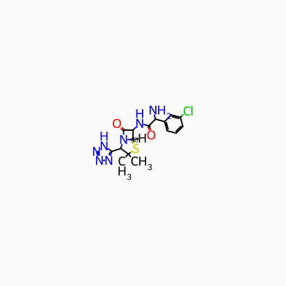 CC1(C)S[C@H]2C(NC(=O)C(N)c3cccc(Cl)c3)C(=O)N2C1c1nnn[nH]1